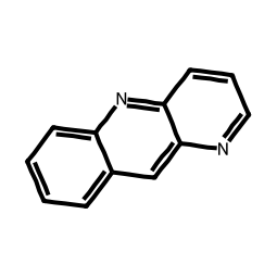 c1ccc2nc3cccnc3cc2c1